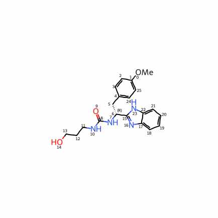 COc1ccc(C[C@@H](NC(=O)NCCCO)c2nc3ccccc3[nH]2)cc1